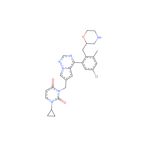 Cc1cc(Cl)cc(-c2ncnn3cc(Cn4c(=O)ccn(C5CC5)c4=O)cc23)c1CC1CNCCO1